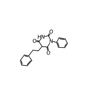 O=C1NC(=O)N(c2ccccc2)C(=O)C1CCc1ccccc1